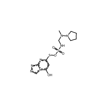 CN(CNS(=O)(=O)OSc1cc(O)n2cnnc2n1)N1CCCC1